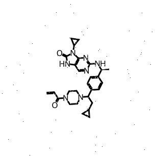 C=CC(=O)N1CCN(C(CC2CC2)c2ccc([C@H](C)Nc3ncc4[nH]c(=O)n(C5CC5)c4n3)cc2)CC1